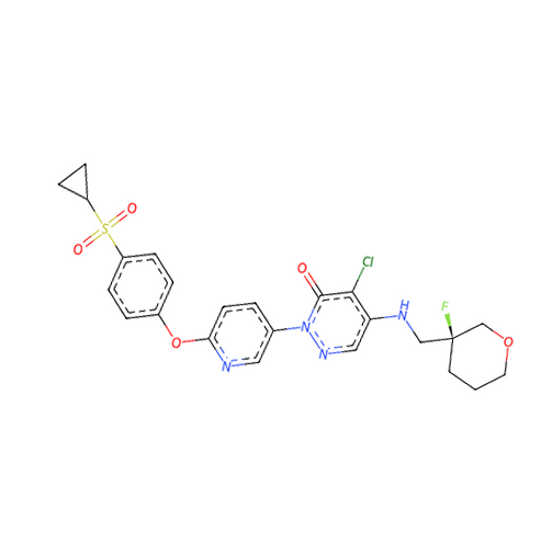 O=c1c(Cl)c(NC[C@@]2(F)CCCOC2)cnn1-c1ccc(Oc2ccc(S(=O)(=O)C3CC3)cc2)nc1